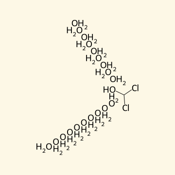 O.O.O.O.O.O.O.O.O.O.O.O.O.O.O.O.O.O.O.OC(Cl)Cl